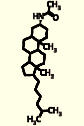 CC(=O)N[C@@H]1CCC2(C)C(CCC3C4CCC(CCCCC(C)C)C4(C)CCC32)C1